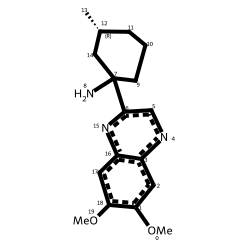 COc1cc2ncc(C3(N)CCC[C@@H](C)C3)nc2cc1OC